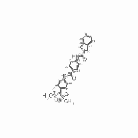 CS(=O)(=O)N(c1ccc(NC(=O)c2ccc(NC(=O)N3Cc4ccccc4C3)cc2)cc1)S(C)(=O)=O